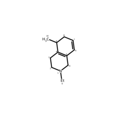 CCN1CCC2=C(C=CCC2C)C1